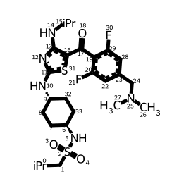 CC(C)CS(=O)(=O)N[C@H]1CC[C@H](Nc2nc(NC(C)C)c(C(=O)c3c(F)cc(CN(C)C)cc3F)s2)CC1